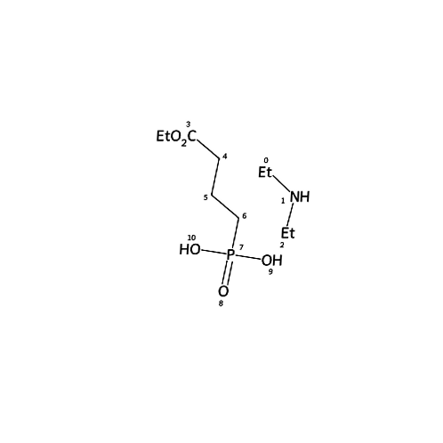 CCNCC.CCOC(=O)CCCP(=O)(O)O